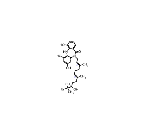 C/C(=C\CN1C(=O)c2cccc(O)c2Nc2c(O)cc(O)cc21)CC/C=C(\C)CCC(O)C(C)(C)Br